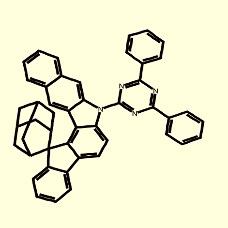 c1ccc(-c2nc(-c3ccccc3)nc(-n3c4cc5ccccc5cc4c4c5c(ccc43)-c3ccccc3C53C4CC5CC(C4)CC3C5)n2)cc1